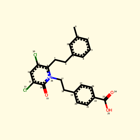 Cc1cccc(CCc2c(Cl)cc(Cl)c(=O)n2CCc2ccc(C(=O)O)cc2)c1